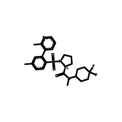 Cc1ccc(S(=O)(=O)N2CCC[C@H]2C(=O)N(C)C2CCC(F)(F)CC2)c(-c2cccnc2C)c1